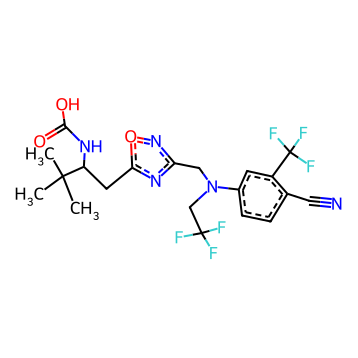 CC(C)(C)C(Cc1nc(CN(CC(F)(F)F)c2ccc(C#N)c(C(F)(F)F)c2)no1)NC(=O)O